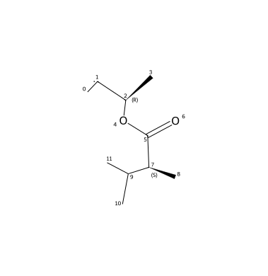 C[CH][C@@H](C)OC(=O)[C@@H](C)C(C)C